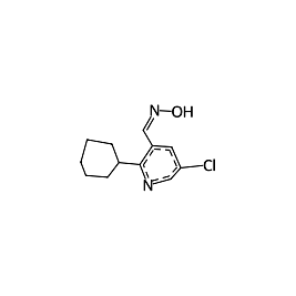 O/N=C\c1cc(Cl)cnc1C1CCCCC1